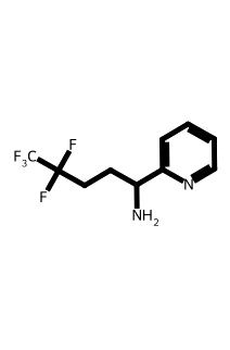 NC(CCC(F)(F)C(F)(F)F)c1ccccn1